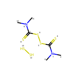 CN(C)C(=S)SSC(=S)N(C)C.SS